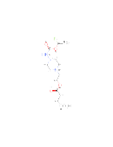 CCCC(F)OC(=O)NN1CCN(CCOC(=O)CCC(=O)O)CC1